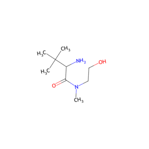 CN(CCO)C(=O)C(N)C(C)(C)C